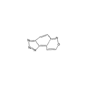 c1cc2c(ccc3nnnc32)no1